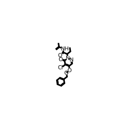 C=C(C)NC(=O)C(CC)n1ncc(OOCc2ccccc2)c(Cl)c1=O